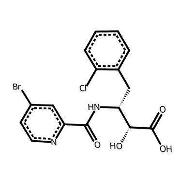 O=C(N[C@H](Cc1ccccc1Cl)[C@@H](O)C(=O)O)c1cc(Br)ccn1